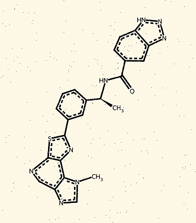 C[C@H](NC(=O)c1ccc2[nH]nnc2c1)c1cccc(-c2nc3c(ncc4ncn(C)c43)s2)c1